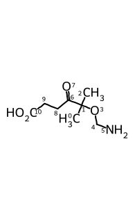 CC(C)(OCN)C(=O)CCC(=O)O